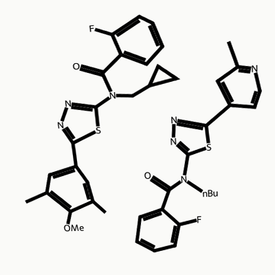 CCCCN(C(=O)c1ccccc1F)c1nnc(-c2ccnc(C)c2)s1.COc1c(C)cc(-c2nnc(N(CC3CC3)C(=O)c3ccccc3F)s2)cc1C